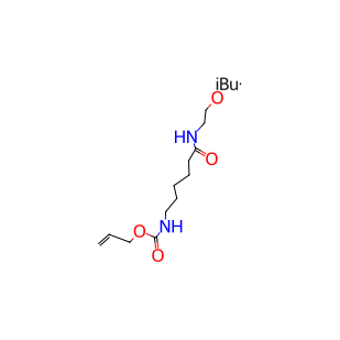 C=CCOC(=O)NCCCCCC(=O)NCCO[C](C)CC